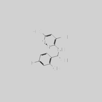 Cc1cc(C)c(N[C@@H](C)c2ccc(F)cc2C)nn1